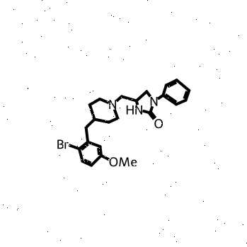 COc1ccc(Br)c(CC2CCN(CC3CN(c4ccccc4)C(=O)N3)CC2)c1